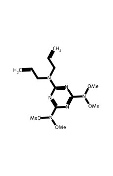 C=CCN(CC=C)c1nc(N(OC)OC)nc(N(OC)OC)n1